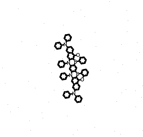 c1ccc(N(c2ccccc2)c2ccc3c4c5c(cc3c2)N(c2ccccc2)c2cc3c(cc2B5c2ccccc2O4)B2c4ccccc4Oc4c2c(cc2cc(N(c5ccccc5)c5ccccc5)ccc42)N3c2ccccc2)cc1